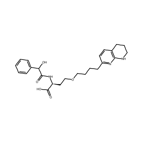 O=C(N[C@@H](CCOCCCCc1ccc2c(n1)NCCC2)C(=O)O)C(O)c1ccccc1